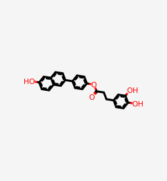 O=C(CCc1ccc(O)c(O)c1)Oc1ccc(-c2ccc3cc(O)ccc3c2)cc1